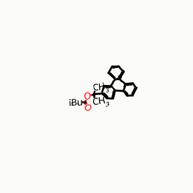 CCC(C)C(=O)OC(C)(C)c1ccc2c3ccccc3c3ccccc3c2c1